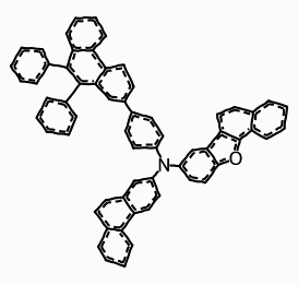 c1ccc(-c2c(-c3ccccc3)c3cc(-c4ccc(N(c5ccc6c(ccc7ccccc76)c5)c5ccc6oc7c8ccccc8ccc7c6c5)cc4)ccc3c3ccccc23)cc1